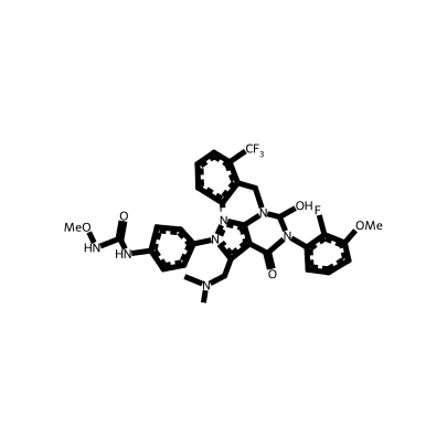 CONC(=O)Nc1ccc(-n2nc3c(c2CN(C)C)C(=O)N(c2cccc(OC)c2F)C(O)N3Cc2c(F)cccc2C(F)(F)F)cc1